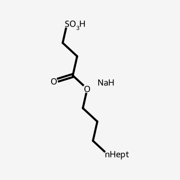 CCCCCCCCCCOC(=O)CCS(=O)(=O)O.[NaH]